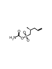 C=CC[C@H](C)CS(=O)(=O)OC(N)=O